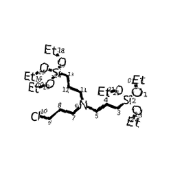 CCO[Si](CCCN(CCCCl)CCC[Si](OCC)(OCC)OCC)(OCC)OCC